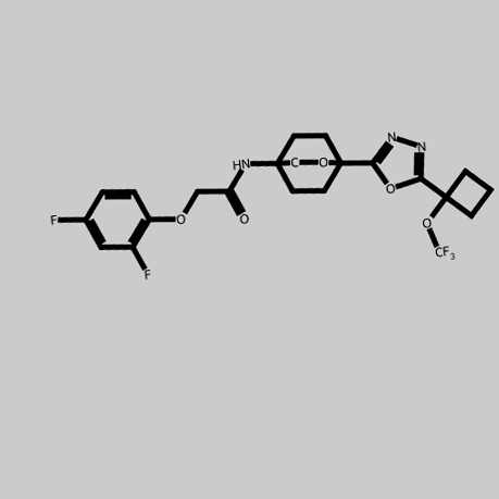 O=C(COc1ccc(F)cc1F)NC12CCC(c3nnc(C4(OC(F)(F)F)CCC4)o3)(CC1)OC2